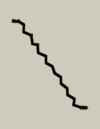 COCCOCOCCCCCCCCCCC[C]=O